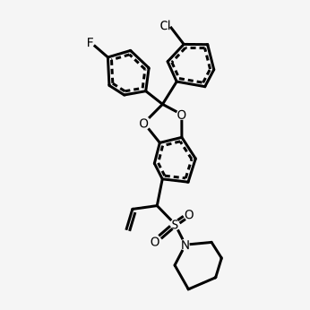 C=CC(c1ccc2c(c1)OC(c1ccc(F)cc1)(c1cccc(Cl)c1)O2)S(=O)(=O)N1CCCCC1